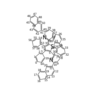 c1ccc(C2=C(c3cccc(-c4ccc5ccccc5c4)n3)[Si](c3ccccc3)(c3ccccc3)C(c3cccc(-c4ccc5ccccc5c4)n3)=C2c2ccccc2)cc1